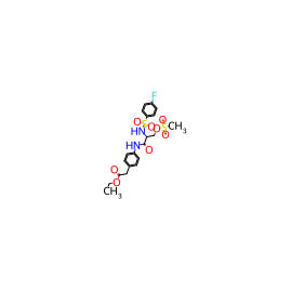 CCOC(=O)Cc1ccc(NC(=O)C(COS(C)(=O)=O)NS(=O)(=O)c2ccc(F)cc2)cc1